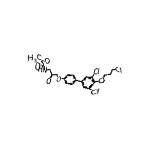 CS(=O)(=O)NCC(=O)COc1ccc(-c2cc(Cl)c(OCCCCl)c(Cl)c2)cc1